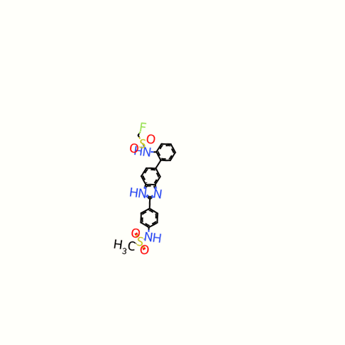 CS(=O)(=O)Nc1ccc(-c2nc3cc(-c4ccccc4NS(=O)(=O)CF)ccc3[nH]2)cc1